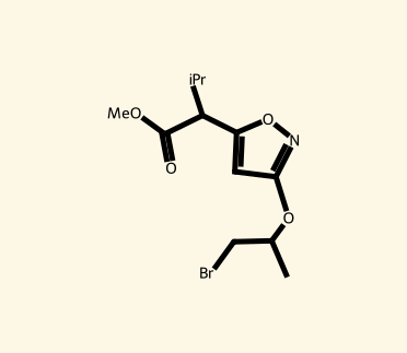 COC(=O)C(c1cc(OC(C)CBr)no1)C(C)C